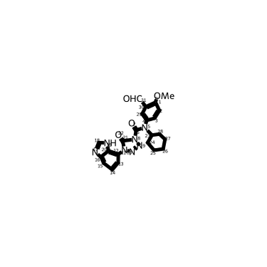 COc1ccc(N(C(=O)n2nnn(-c3cccc4nc[nH]c34)c2=O)C2CCCCC2)cc1C=O